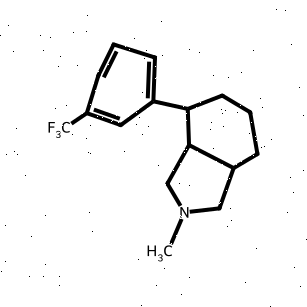 CN1CC2CCCC(c3cccc(C(F)(F)F)c3)C2C1